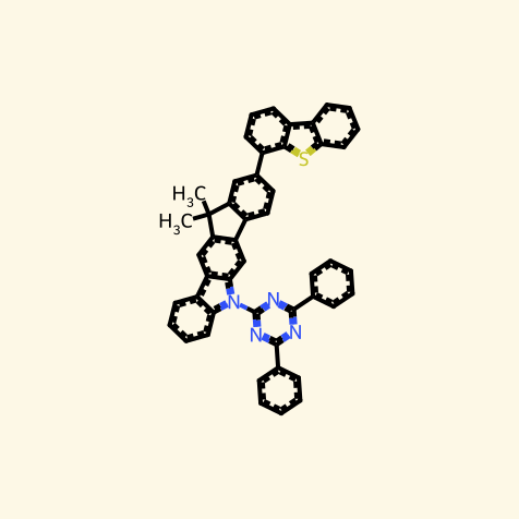 CC1(C)c2cc(-c3cccc4c3sc3ccccc34)ccc2-c2cc3c(cc21)c1ccccc1n3-c1nc(-c2ccccc2)nc(-c2ccccc2)n1